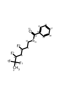 CC(F)(F)C(F)CC(F)CCSC(=O)c1ccccc1